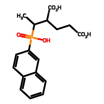 CC(C(CCC(=O)O)C(=O)O)P(=O)(O)c1ccc2ccccc2c1